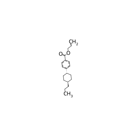 C=CCOC(=O)c1ccc([C@H]2CC[C@H](CCC)CC2)cc1